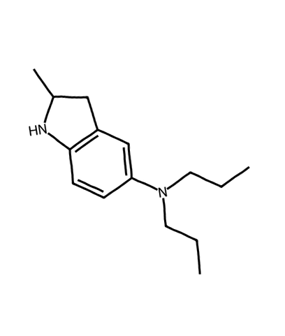 CCCN(CCC)c1ccc2c(c1)CC(C)N2